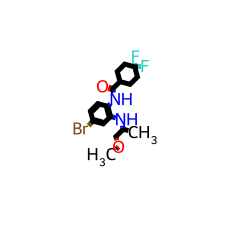 COCC(C)Nc1cc(Br)ccc1NC(=O)C1CCC(F)(F)CC1